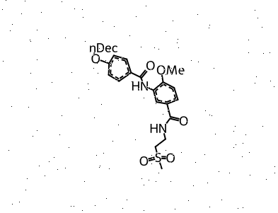 CCCCCCCCCCOc1ccc(C(=O)Nc2cc(C(=O)NCCS(C)(=O)=O)ccc2OC)cc1